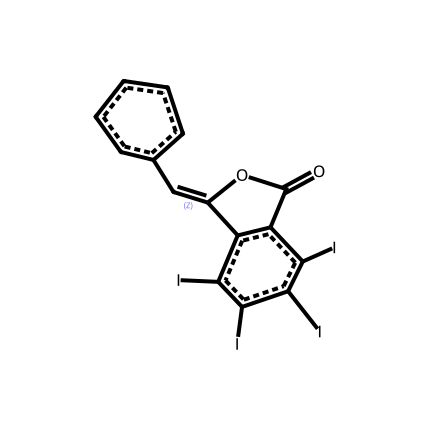 O=C1O/C(=C\c2ccccc2)c2c(I)c(I)c(I)c(I)c21